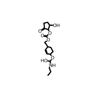 CCCNC(O)OC1C=CC(COC(=O)OC2C(=O)CCC2O)CC1